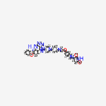 Nc1ncnc2c1c(-c1ccc(Oc3ccccc3)cc1)nn2C1CCN(C2CCC(N3CC(Oc4ccc5c(c4)CN(C4CCC(=O)NC4=O)C5)C3)CC2)CC1